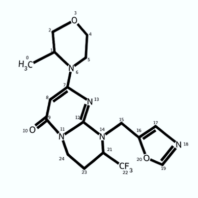 CC1COCCN1c1cc(=O)n2c(n1)N(Cc1cnco1)C(C(F)(F)F)CC2